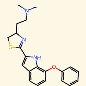 CN(C)CCC1CSC(c2cc3cccc(Oc4ccccc4)c3[nH]2)=N1